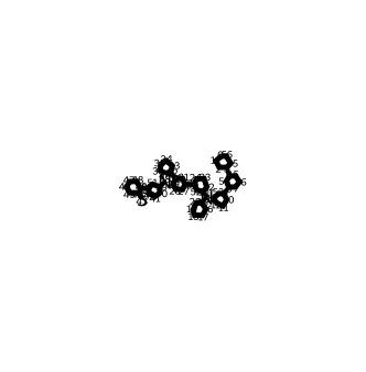 c1ccc(-c2cccc(-c3cccc(N(c4ccccc4)c4cccc(-c5ccc6c(c5)c5ccccc5n6-c5ccc6sc7ccccc7c6c5)c4)c3)c2)cc1